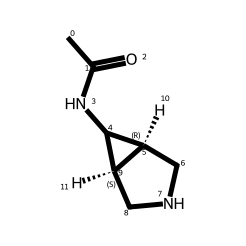 CC(=O)NC1[C@H]2CNC[C@@H]12